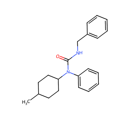 CC1CCC(N(C(=O)NCc2ccccc2)c2ccccc2)CC1